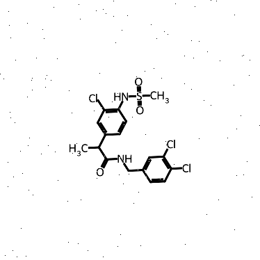 CC(C(=O)NCc1ccc(Cl)c(Cl)c1)c1ccc(NS(C)(=O)=O)c(Cl)c1